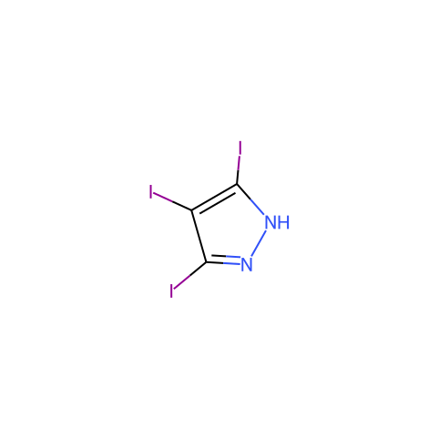 Ic1n[nH]c(I)c1I